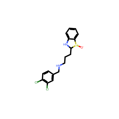 [O-][S+]1c2ccccc2NC1CCCNCc1ccc(Cl)c(Cl)c1